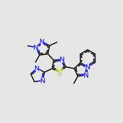 Cc1nn(C)c(C)c1-c1nc(-c2c(C)nn3ccccc23)sc1C1=NCC=N1